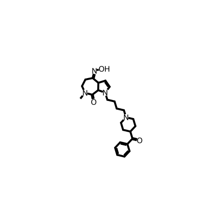 CN1CC/C(=N/O)C2C=CN(CCCCN3CCC(C(=O)c4ccccc4)CC3)C2C1=O